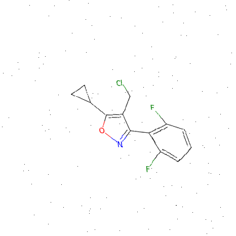 Fc1cccc(F)c1-c1noc(C2CC2)c1CCl